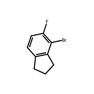 Fc1ccc2c(c1Br)CC[CH]2